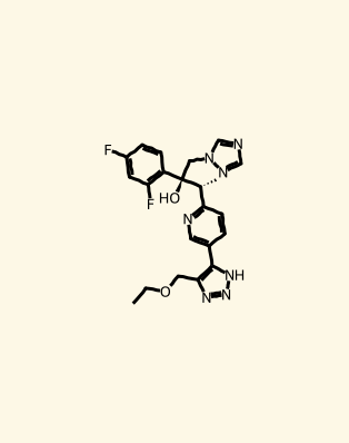 CCOCc1nn[nH]c1-c1ccc([C@@H](C)[C@@](O)(Cn2cncn2)c2ccc(F)cc2F)nc1